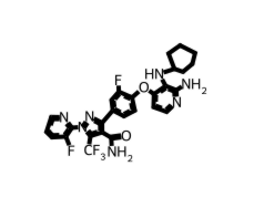 NC(=O)c1c(-c2ccc(Oc3ccnc(N)c3NC3CCCCC3)c(F)c2)nn(-c2ncccc2F)c1C(F)(F)F